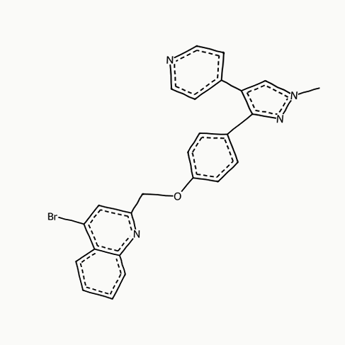 Cn1cc(-c2ccncc2)c(-c2ccc(OCc3cc(Br)c4ccccc4n3)cc2)n1